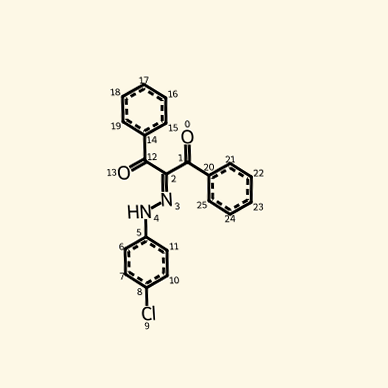 O=C(C(=NNc1ccc(Cl)cc1)C(=O)c1ccccc1)c1ccccc1